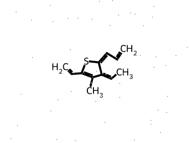 C=C/C=c1/sc(C=C)c(C)/c1=C/C